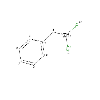 [F][Zn]([Cl])[CH2]c1ccccc1